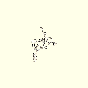 C=CCOCc1ccc(Br)nc1NC(=O)[C@@H]1C[C@@]2(CN=[N+]=[N-])C[C@H]2N1C(=O)O